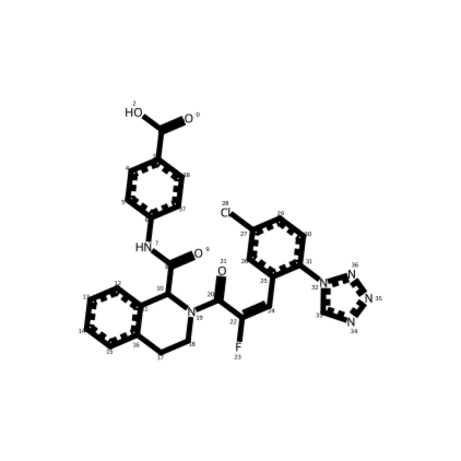 O=C(O)c1ccc(NC(=O)C2c3ccccc3CCN2C(=O)/C(F)=C\c2cc(Cl)ccc2-n2cnnn2)cc1